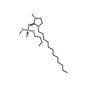 CCCCCCCCCCCCN1CCN(C)/C1=N/P(=O)(OC)OCCCC